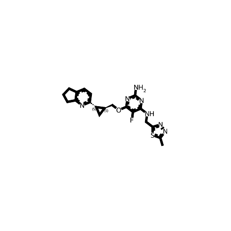 Cc1nnc(CNc2nc(N)nc(OC[C@H]3C[C@@H]3c3ccc4c(n3)CCC4)c2F)s1